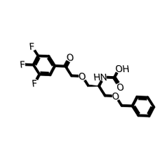 O=C(O)N[C@H](COCC(=O)c1cc(F)c(F)c(F)c1)COCc1ccccc1